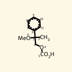 COC(C)(COC(=O)O)c1ccccc1